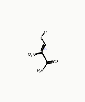 CCO/C=C(/C(N)=O)[N+](=O)[O-]